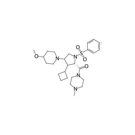 COC1CCN(C2CN(S(=O)(=O)c3cc[c]cc3)[C@H](C(=O)N3CCN(C)CC3)C2C2CCC2)CC1